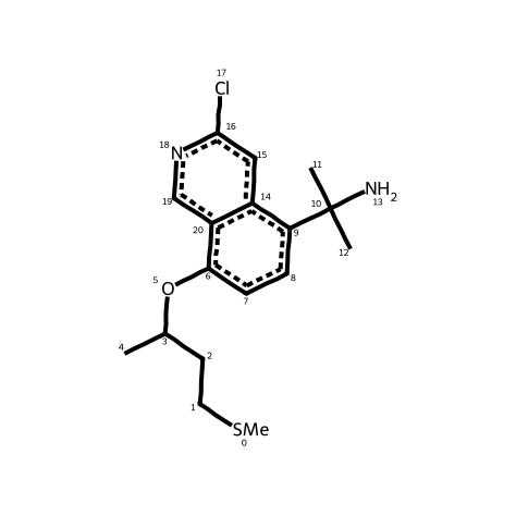 CSCCC(C)Oc1ccc(C(C)(C)N)c2cc(Cl)ncc12